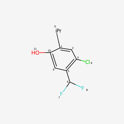 CC(C)c1cc(Cl)c(C(F)F)cc1O